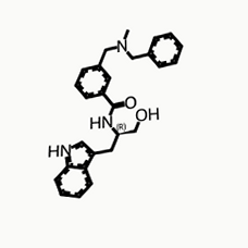 CN(Cc1ccccc1)Cc1cccc(C(=O)N[C@@H](CO)Cc2c[nH]c3ccccc23)c1